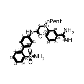 CCCCCN(CC(=O)Nc1ccc(-c2ccccc2S(N)(=O)=O)cc1)c1cccc(C(=N)N)c1